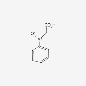 O=C(O)C[S@@+]([O-])c1ccccc1